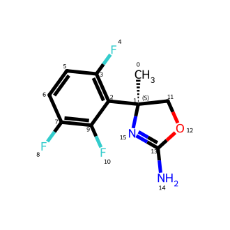 C[C@]1(c2c(F)ccc(F)c2F)COC(N)=N1